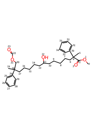 COC(=O)C(C)(CCCCCC(O)CCCCCC(C)(COC=O)c1ccccc1)c1ccccc1